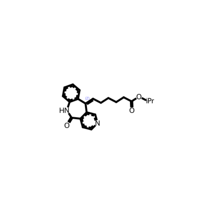 CC(C)OC(=O)CCCC/C=C1/c2ccccc2NC(=O)c2ccncc21